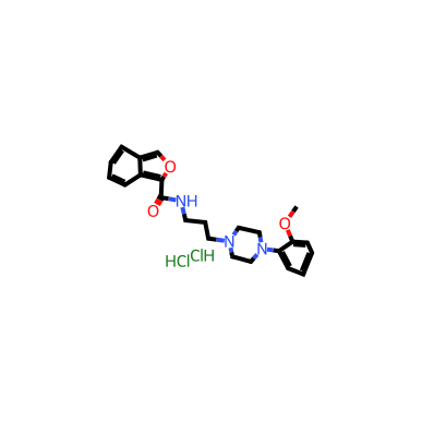 COc1ccccc1N1CCN(CCCNC(=O)c2occ3ccccc23)CC1.Cl.Cl